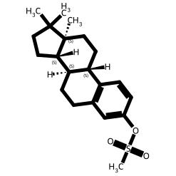 CC1(C)CC[C@H]2[C@@H]3CCc4cc(OS(C)(=O)=O)ccc4[C@H]3CC[C@@]21C